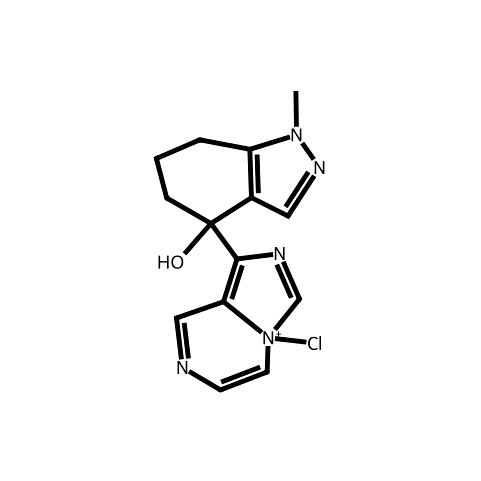 Cn1ncc2c1CCCC2(O)C1=C2C=NC=C[N+]2(Cl)C=N1